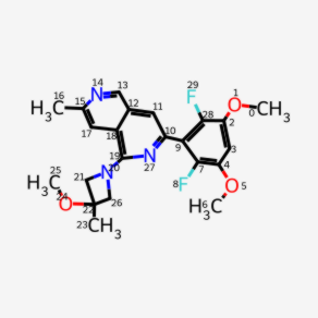 COc1cc(OC)c(F)c(-c2cc3cnc(C)cc3c(N3CC(C)(OC)C3)n2)c1F